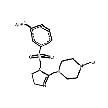 CCN1CCN(C2=NCCN2S(=O)(=O)c2cccc(OC)c2)CC1